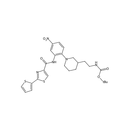 CC(C)(C)OC(=O)NCCC1CCCN(c2ccc([N+](=O)[O-])cc2NC(=O)c2csc(-c3cccs3)n2)C1